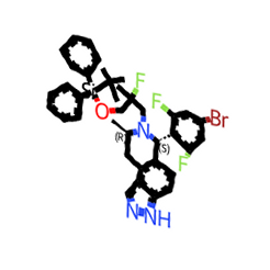 C[C@@H]1Cc2c(ccc3[nH]ncc23)[C@@H](c2c(F)cc(Br)cc2F)N1CC(C)(F)CO[Si](c1ccccc1)(c1ccccc1)C(C)(C)C